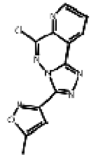 Cc1cc(-c2nnc3c4cccnc4c(Cl)nn23)no1